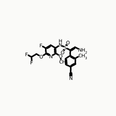 COc1nc(OCC(F)F)c(F)cc1NS(=O)(=O)/C(=C/N)c1ccc(C#N)cc1C